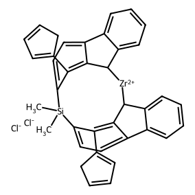 C[Si]1(C)c2ccc3c(c2C2=CC=CC2)[CH]([Zr+2][CH]2c4ccccc4-c4ccc1c(C1=CC=CC1)c42)c1ccccc1-3.[Cl-].[Cl-]